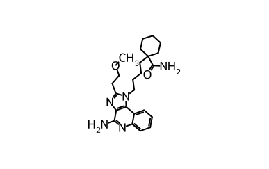 COCCc1nc2c(N)nc3ccccc3c2n1CCCCC1(C(N)=O)CCCCC1